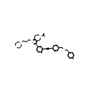 Cc1ccc(CNCc2ccc(C#Cc3cc(-c4nn(CCCN5CCSCC5)c5c4CN(C(N)=O)CC5)ccc3Cl)cc2)cc1